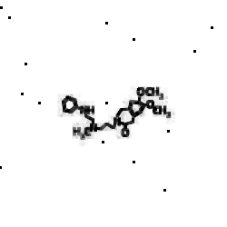 COc1cc2c(cc1OC)CC(=O)N(CCCN(C)CCNc1ccccc1)CC2